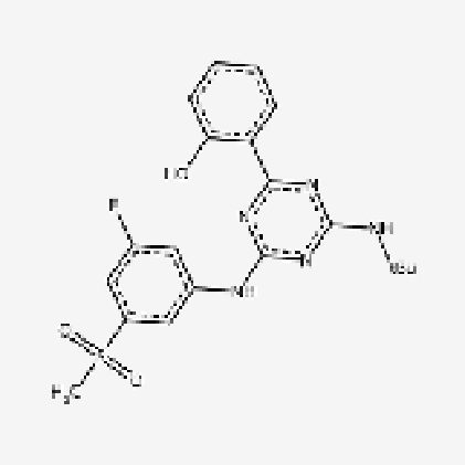 CC(C)(C)Nc1nc(Nc2cc(F)cc(S(C)(=O)=O)c2)nc(-c2ccccc2O)n1